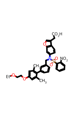 CCOCCOc1cc(C)c(-c2cccc(CN(c3ccc4c(CC(=O)O)coc4c3)S(=O)(=O)c3ccccc3[N+](=O)[O-])c2)c(C)c1